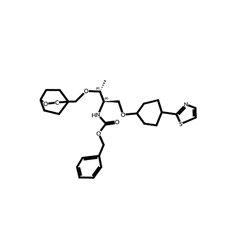 C[C@@H](OCC12CCC(CC1)OC2)[C@@H](COC1CCC(c2nccs2)CC1)NC(=O)OCc1ccccc1